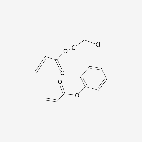 C=CC(=O)OCCCl.C=CC(=O)Oc1ccccc1